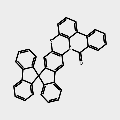 O=c1c2ccccc2c2cccc3c2n1-c1cc2c(cc1S3)C1(c3ccccc3-c3ccccc31)c1ccccc1-2